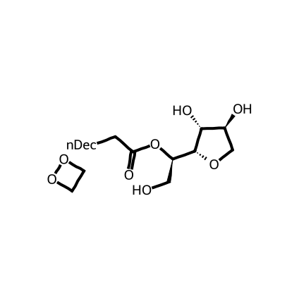 C1COO1.CCCCCCCCCCCC(=O)O[C@H](CO)[C@H]1OC[C@H](O)[C@H]1O